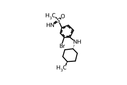 CS(=N)(=O)c1ccc(N[C@H]2CC[C@H](C)CC2)c(Br)c1